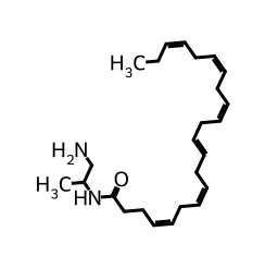 CC/C=C\C/C=C\C/C=C\C/C=C/C/C=C\C/C=C\CCC(=O)NC(C)CN